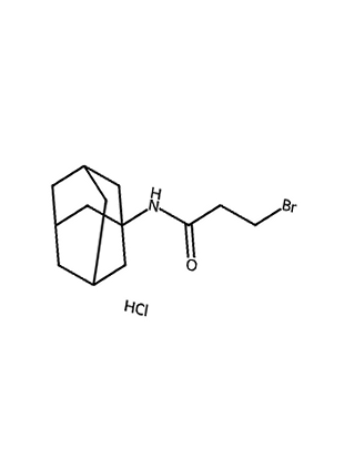 Cl.O=C(CCBr)NC12CC3CC(CC(C3)C1)C2